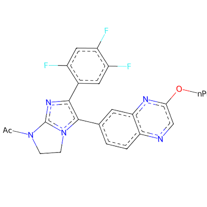 CCCOc1cnc2ccc(-c3c(-c4cc(F)c(F)cc4F)nc4n3CCN4C(C)=O)cc2n1